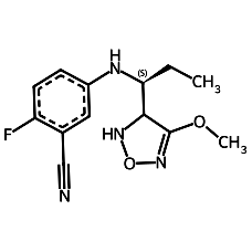 CC[C@H](Nc1ccc(F)c(C#N)c1)C1NON=C1OC